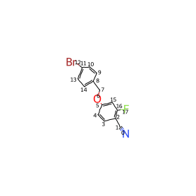 N#Cc1ccc(OCc2ccc(Br)cc2)cc1F